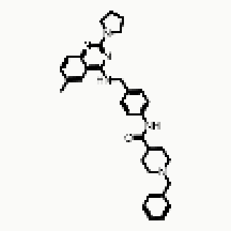 Cc1ccc2nc(N3CCCC3)nc(NCc3ccc(NC(=O)C4CCN(Cc5ccccc5)CC4)cc3)c2c1